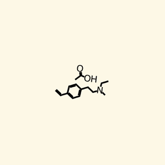 C=Cc1ccc(CCN(C)CC)cc1.CC(=O)O